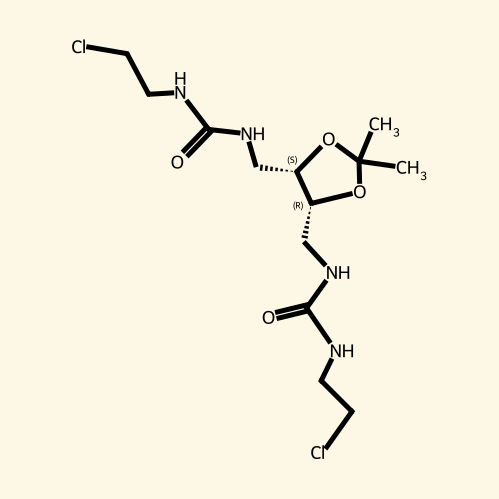 CC1(C)O[C@@H](CNC(=O)NCCCl)[C@@H](CNC(=O)NCCCl)O1